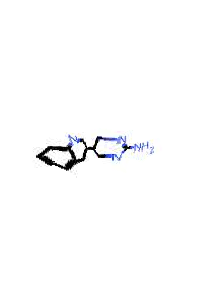 Nc1ncc(-c2cnc3ccccc3c2)cn1